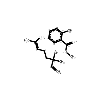 C=CC(C)(O)CCC=C(C)C.COC(=O)c1ccccc1O